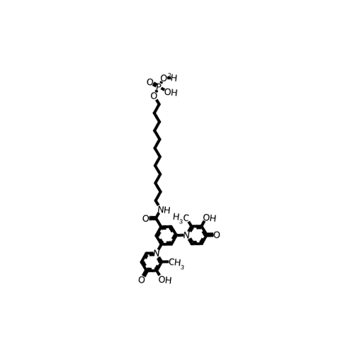 [2H]OP(=O)(O)OCCCCCCCCCCCCNC(=O)c1cc(-n2ccc(=O)c(O)c2C)cc(-n2ccc(=O)c(O)c2C)c1